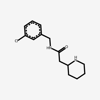 O=C(CC1CCCCN1)NCc1cccc(Cl)c1